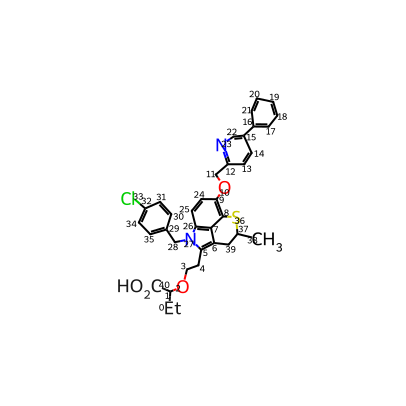 CCC(OCCc1c2c3c(c(OCc4ccc(-c5ccccc5)cn4)ccc3n1Cc1ccc(Cl)cc1)SC(C)C2)C(=O)O